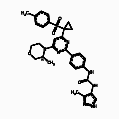 Cc1ccc(S(=O)(=O)C2(c3cc(N4CCOC[C@@H]4C)nc(-c4ccc(NC(=O)Nc5c[nH]nc5C)cc4)n3)CC2)cc1